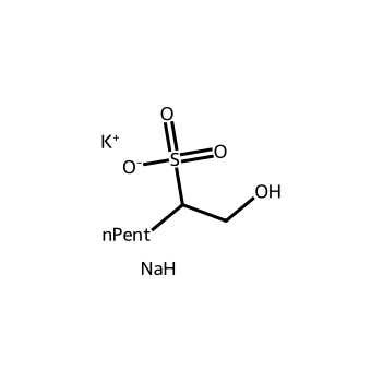 CCCCCC(CO)S(=O)(=O)[O-].[K+].[NaH]